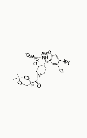 COc1cc(C(C)C)c(Cl)cc1[C@H](N[S@@+]([O-])C(C)(C)C)C1CCN(C(=O)[C@H]2COC(C)(C)O2)CC1